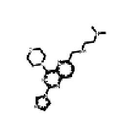 CN(C)CCNCc1ccc2nc(-n3ccnc3)nc(N3CCOCC3)c2n1